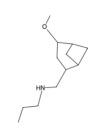 CCCNCC1CC(OC)C2CC1C2